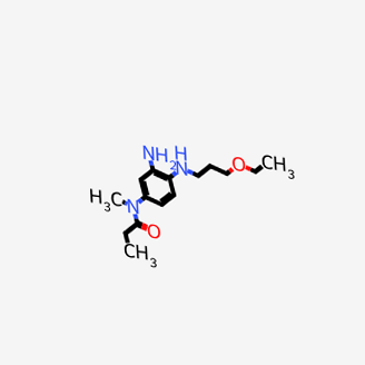 CCOCCCNc1ccc(N(C)C(=O)CC)cc1N